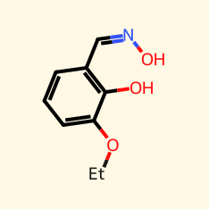 CCOc1cccc(/C=N\O)c1O